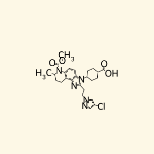 COC(=O)N1c2ccc3c(nc(CCn4cc(Cl)cn4)n3C3CCC(C(=O)O)CC3)c2CCC1C